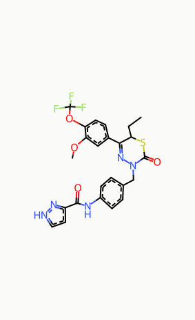 CCC1SC(=O)N(Cc2ccc(NC(=O)c3cc[nH]n3)cc2)N=C1c1ccc(OC(F)(F)F)c(OC)c1